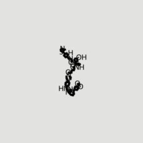 Cc1ncsc1-c1ccc(CNC(=O)[C@@H]2C[C@@H](O)CN2C(=O)[C@@H](NC(=O)CCCC(=O)N2CCN(c3ccc(Nc4nc5cccc(-c6ccc(S(C)(=O)=O)cc6)n5n4)cc3)CC2)C(C)(C)C)cc1